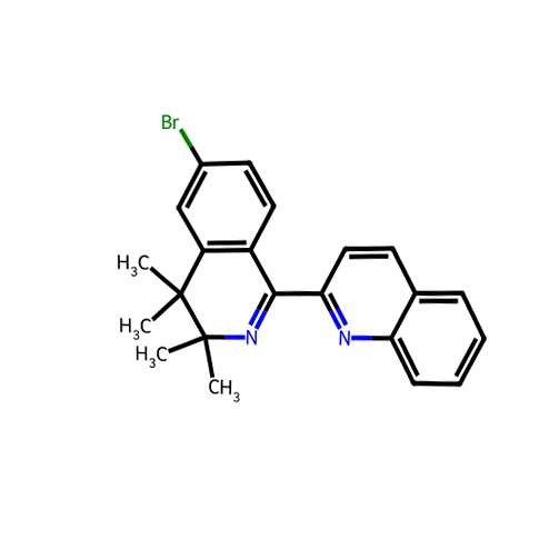 CC1(C)N=C(c2ccc3ccccc3n2)c2ccc(Br)cc2C1(C)C